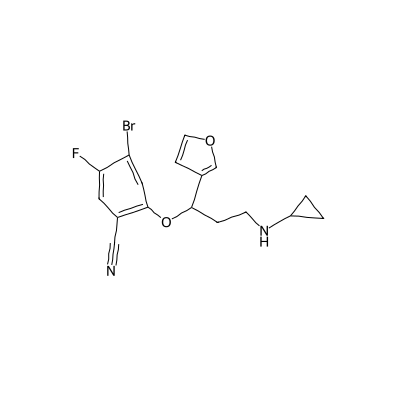 N#Cc1cc(F)c(Br)cc1OC(CCNC1CC1)c1ccoc1